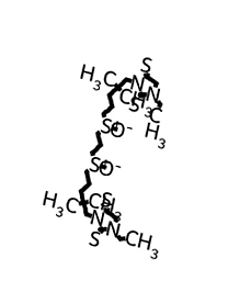 CCN1CC(=S)N(CC(C)(C)CCC[S+]([O-])CCC[S+]([O-])CCCC(C)(C)CN2C(=S)CN(CC)C2=S)C1=S